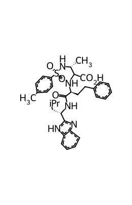 Cc1ccc(S(=O)(=O)N[C@H](C)C(N[C@@H](CCc2ccccc2)C(=O)N[C@@H](CC(C)C)c2nc3ccccc3[nH]2)C(=O)O)cc1